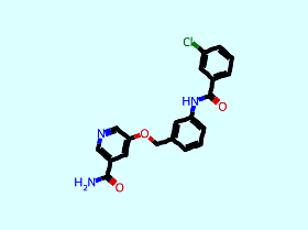 NC(=O)c1cncc(OCc2cccc(NC(=O)c3cccc(Cl)c3)c2)c1